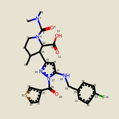 CC1CCN(C(=O)N(C)C)C(C(=O)O)C1c1cc(NCc2ccc(F)cc2)n(C(=O)c2ccsc2)n1